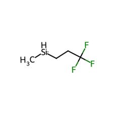 C[SiH]CCC(F)(F)F